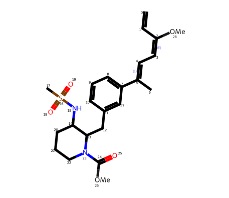 C=C/C(=C\C=C(/C)c1cccc(CC2C(NS(C)(=O)=O)CCCN2C(=O)OC)c1)OC